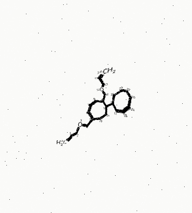 C=CCOCC1CCCC(COCC=C)C(C2CCCCCCC2)CC1